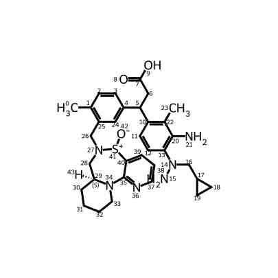 Cc1ccc(C(CC(=O)O)c2ccc(N(N)CC3CC3)c(N)c2C)cc1CN1C[C@@H]2CCCCN2c2ncccc2[S+]1[O-]